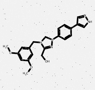 COc1cc(CN2CN(c3ccc(-c4cn[nH]c4)cc3)N=C2CO)cc(OC)c1